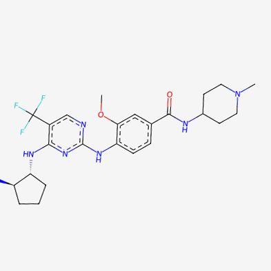 COc1cc(C(=O)NC2CCN(C)CC2)ccc1Nc1ncc(C(F)(F)F)c(N[C@@H]2CCC[C@H]2N)n1